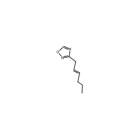 [CH2]CCC=CCc1ncon1